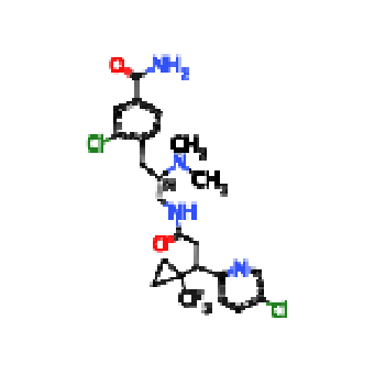 CN(C)[C@H](CNC(=O)CC(c1ccc(Cl)cn1)C1(C(F)(F)F)CC1)Cc1ccc(C(N)=O)cc1Cl